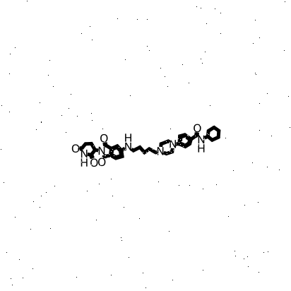 O=C1CCC(N2C(=O)c3ccc(NCCCCCN4CCN(c5ccc(C(=O)NC6CCCCC6)cc5)CC4)cc3C2=O)C(=O)N1